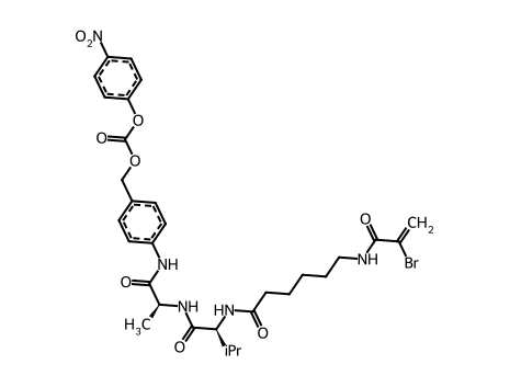 C=C(Br)C(=O)NCCCCCC(=O)N[C@H](C(=O)N[C@@H](C)C(=O)Nc1ccc(COC(=O)Oc2ccc([N+](=O)[O-])cc2)cc1)C(C)C